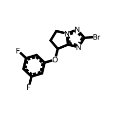 Fc1cc(F)cc(OC2CCn3nc(Br)nc32)c1